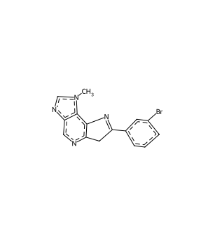 Cn1cnc2cnc3c(c21)N=C(c1cccc(Br)c1)C3